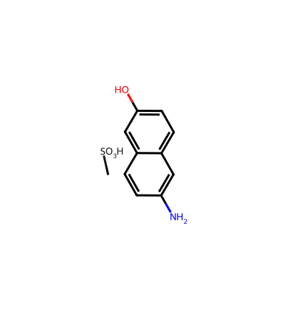 CS(=O)(=O)O.Nc1ccc2cc(O)ccc2c1